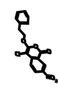 O=c1oc(OCCc2ccccc2)c(Cl)c2ccc([N+](=O)[O-])cc12